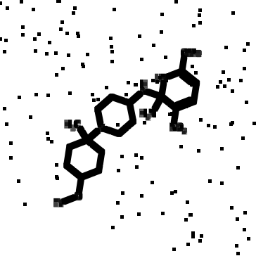 CCOC1CCC(C)(N2CCC(NC3(N)NC(OC)=CC=C3[N+](=O)[O-])CC2)CC1